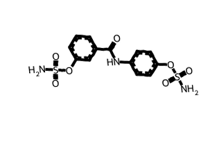 NS(=O)(=O)Oc1ccc(NC(=O)c2cccc(OS(N)(=O)=O)c2)cc1